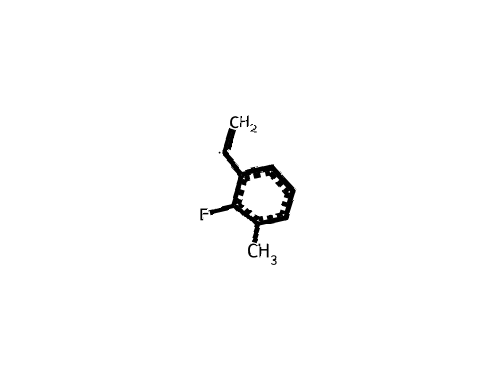 C=[C]c1cccc(C)c1F